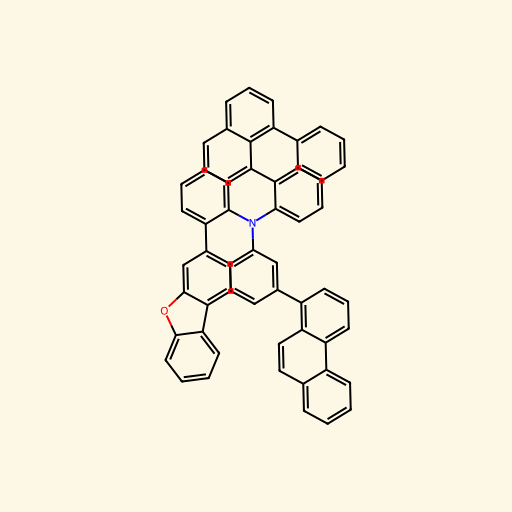 c1ccc(-c2cccc3cccc(-c4ccccc4N(c4cccc(-c5cccc6c5ccc5ccccc56)c4)c4ccccc4-c4ccc5c(c4)oc4ccccc45)c23)cc1